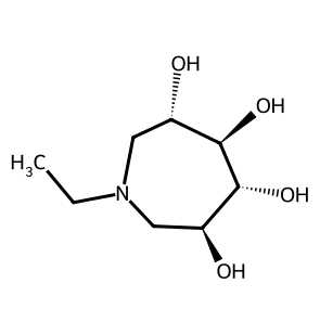 CCN1C[C@H](O)[C@@H](O)[C@H](O)[C@@H](O)C1